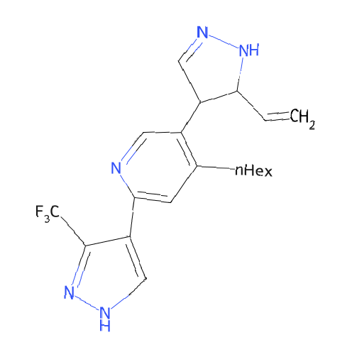 C=CC1NN=CC1c1cnc(-c2c[nH]nc2C(F)(F)F)cc1CCCCCC